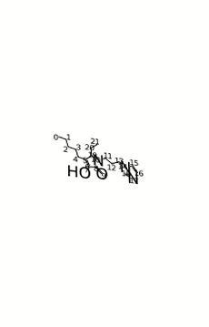 CCCCCC1=C(O)C(=O)N(CCCn2ccnc2)C1CC